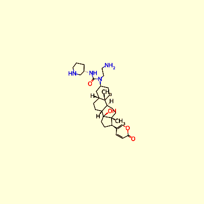 C[C@]12CC[C@H](N(CCN)C(=O)N[C@H]3CCCNC3)C[C@H]1CC[C@@H]1[C@@H]2CC[C@]2(C)[C@@H](c3ccc(=O)oc3)CC[C@]12O